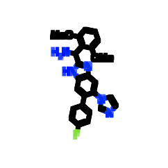 COc1cccc(OC)c1C(N)c1nc2cc(-n3ccnc3)c(-c3ccc(F)cc3)cc2[nH]1